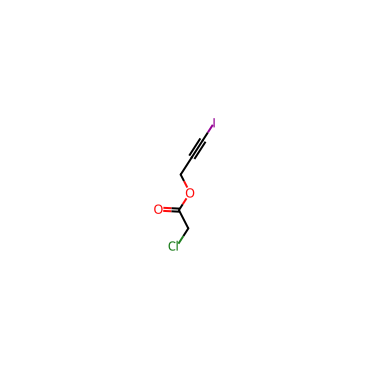 O=C(CCl)OCC#CI